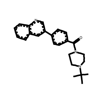 CC(C)(C)N1CCN(C(=O)c2ccc(-c3cnc4ccccc4c3)cc2)CC1